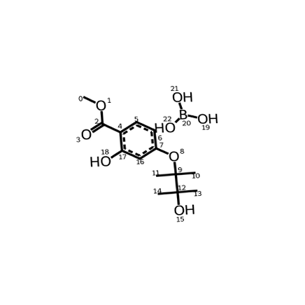 COC(=O)c1ccc(OC(C)(C)C(C)(C)O)cc1O.OB(O)O